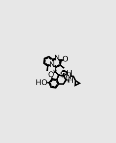 Cc1c([C@@H]2Oc3c(O)ccc4c3[C@@]23CCN(CC2CC2)[C@H](C4)[C@@]3(C)O)n2c(C)cccc2nc1=O